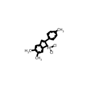 Cc1ccc(C2=Cc3cc(C)c(C)cc3[CH]2[Hf]([Cl])[Cl])cc1